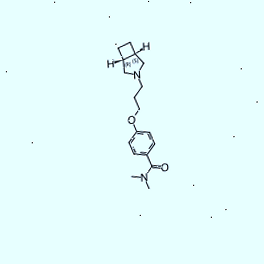 CN(C)C(=O)c1ccc(OCCCN2C[C@H]3CC[C@H]3C2)cc1